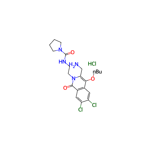 CCCCOc1c(CN)n(CCNC(=O)N2CCCC2)c(=O)c2cc(Cl)c(Cl)cc12.Cl